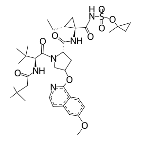 CC[C@@H]1C[C@]1(NC(=O)[C@@H]1CC(Oc2nccc3cc(OC)ccc23)CN1C(=O)[C@@H](NC(=O)CC(C)(C)C)C(C)(C)C)C(=O)NS(=O)(=O)OC1(C)CC1